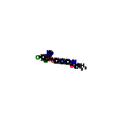 CCC(C)n1ncn(-c2ccc(N3CCN(c4ccc(OC[C@@H]5CO[C@@](Cn6ncnn6)(c6ccc(Cl)cc6Cl)O5)cc4)CC3)cc2)c1=O